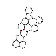 c1ccc(-n2c3ccccc3c3cc4ccccc4c(-c4ccccc4-c4ccc5c(c4)-c4cccc6cccc(c46)O5)c32)cc1